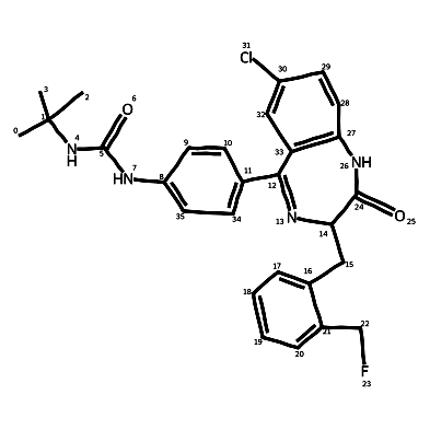 CC(C)(C)NC(=O)Nc1ccc(C2=NC(Cc3ccccc3CF)C(=O)Nc3ccc(Cl)cc32)cc1